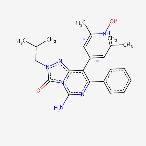 C=C(C)/C=C(\C=C(\C)NO)c1c(-c2ccccc2)nc(N)n2c(=O)n(CC(C)C)nc12